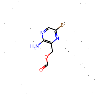 Nc1ncc(Br)nc1COC=O